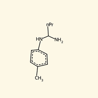 CCCC(N)Nc1ccc(C)cc1